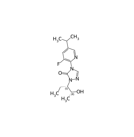 CC[C@@H]([C@@H](C)O)n1ncn(-c2ncc(C(C)C)cc2F)c1=O